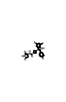 O=C1C[C@H](NC(=O)[C@H]2C[C@H](c3c(-c4ccc(F)cc4)[nH]c4c(F)cc(F)cc43)C2)C(=O)N1